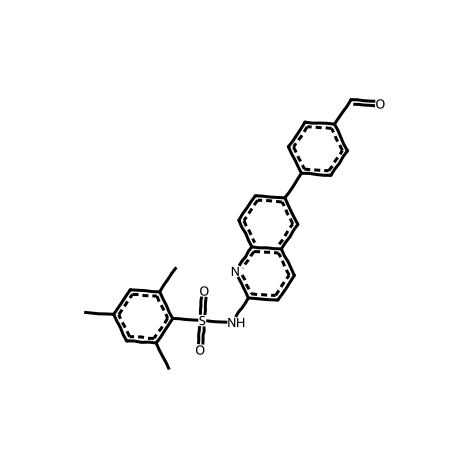 Cc1cc(C)c(S(=O)(=O)Nc2ccc3cc(-c4ccc(C=O)cc4)ccc3n2)c(C)c1